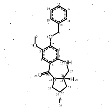 COc1cc2c(cc1OCc1ccccc1)NC[C@@H]1C[C@H](F)CN1C2=O